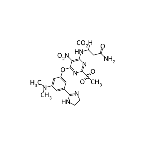 CN(C)c1cc(Oc2nc(S(C)(=O)=O)nc(NC(CC(N)=O)C(=O)O)c2[N+](=O)[O-])cc(C2=NCCN2)c1